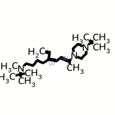 C=C/C(=C\C=C(/C)N1CCN(C(C)(C)C)CC1)CCCCN(C)C(C)(C)C